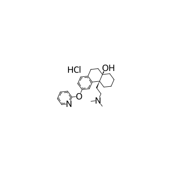 CN(C)CC[C@]12CCCC[C@@]1(O)CCc1ccc(Oc3ccccn3)cc12.Cl